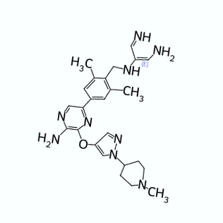 Cc1cc(-c2cnc(N)c(Oc3cnn(C4CCN(C)CC4)c3)n2)cc(C)c1CN/C(C=N)=C/N